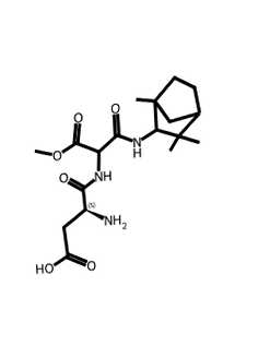 COC(=O)C(NC(=O)[C@@H](N)CC(=O)O)C(=O)NC1C2(C)CCC(C2)C1(C)C